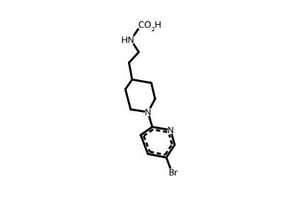 O=C(O)NCCC1CCN(c2ccc(Br)cn2)CC1